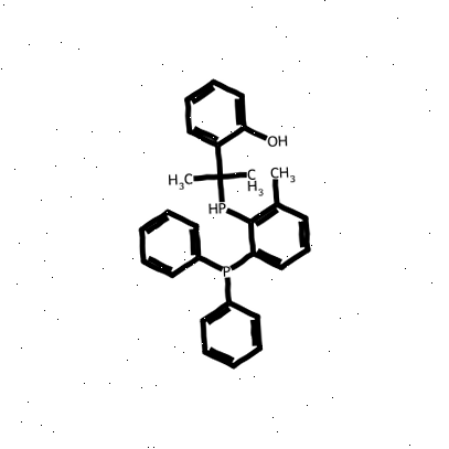 Cc1cccc(P(c2ccccc2)c2ccccc2)c1PC(C)(C)c1ccccc1O